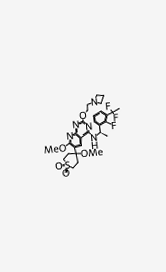 COc1nc2nc(OCCN3CCC3)nc(N[C@H](C)c3cccc(C(C)(F)F)c3F)c2cc1C1(OC)CCS(=O)(=O)CC1